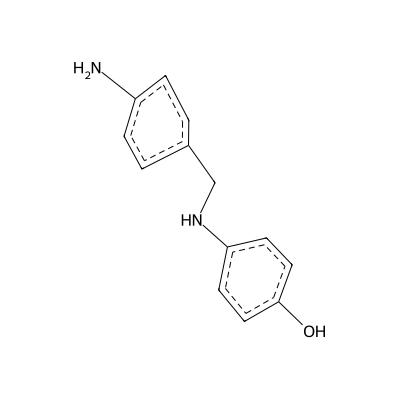 Nc1ccc(CNc2ccc(O)cc2)cc1